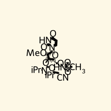 CO[C@@H]1[C@H](OC(OCCC#N)N(C(C)C)C(C)C)[C@@H](CONS(C)(=O)=O)O[C@H]1n1ccc(=O)[nH]c1=O